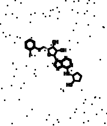 O[C@@H]1[C@@H](CSc2ccccc2F)OC(n2cnc3c(N[C@@H]4CCC[C@H]4O)ncnc32)[C@@H]1O